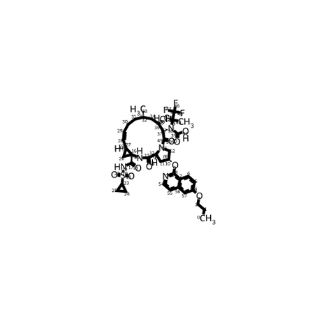 CCCOc1ccc2c(O[C@@H]3C[C@H]4C(=O)N[C@]5(C(=O)NS(=O)(=O)C6CC6)C[C@H]5C=CCC[C@H](C)C[C@@H](C)[C@H](N(C(=O)O)C(C)(C)C(F)(F)F)C(=O)N4C3)nccc2c1